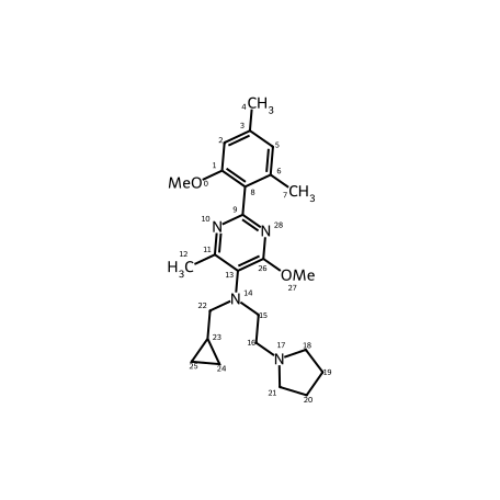 COc1cc(C)cc(C)c1-c1nc(C)c(N(CCN2CCCC2)CC2CC2)c(OC)n1